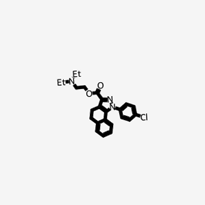 CCN(CC)CCOC(=O)c1nn(-c2ccc(Cl)cc2)c2c1CCc1ccccc1-2